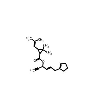 C#CC(C=CCC1=CCCC1)OC(=O)C1C(C=C(C)C)C1(C)C